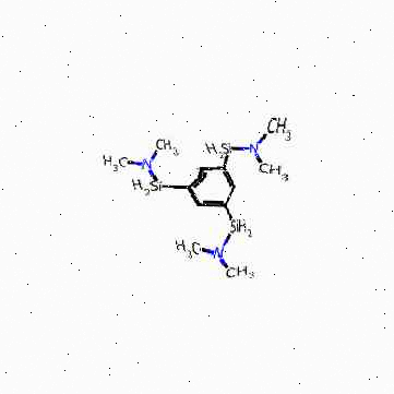 CN(C)[SiH2]c1[c]c([SiH2]N(C)C)cc([SiH2]N(C)C)c1